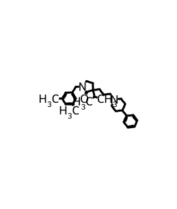 Cc1cc(C)cc(CN2CCC(CCCN3CCC(c4ccccc4)CC3)(C(C)C)C2=O)c1